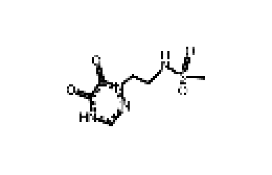 CS(=O)(=O)NCCn1n[c][nH]c(=O)c1=O